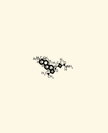 C=C(C)[C@@H]1CC[C@]2(C(=O)N[C@@H]3C[C@H](C(=O)NN)C3(C)C)CC[C@]3(C)[C@H](CC[C@@H]4[C@@]5(C)CC[C@H](OC(C)=O)C(C)(C)[C@@H]5CC[C@]43C)[C@@H]12